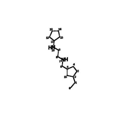 CCC1CCC(CNCCNC2CCCC2)C1